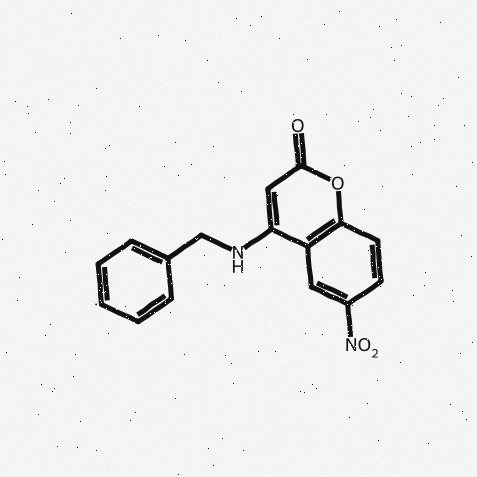 O=c1cc(NCc2cc[c]cc2)c2cc([N+](=O)[O-])ccc2o1